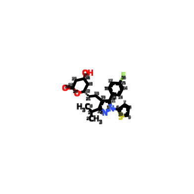 CC(C)c1nn(-c2cccs2)c(-c2ccc(F)cc2)c1CC[C@H]1C[C@H](O)CC(=O)O1